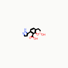 O=C(O)c1c(-c2ccn[nH]2)ccc2c1OB(O)CC2